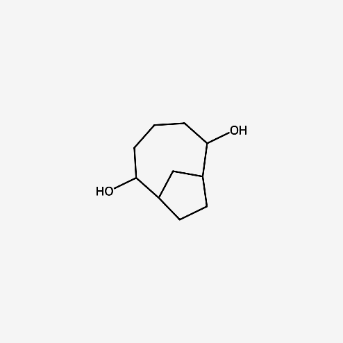 OC1CCCC(O)C2CCC1C2